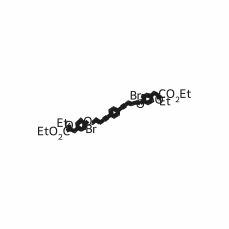 CCOC(=O)C(Cc1ccc(OCC=CC#Cc2ccc(C#CC=CCOc3ccc(CC(OCC)C(=O)OCC)cc3Br)cc2)c(Br)c1)OCC